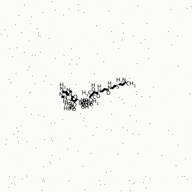 C[C@H](N)CCSCCNC(=O)CCNC(=O)[C@H](O)C(C)(C)COP(=O)(O)OP(=O)(O)OC[C@H]1O[C@@H](n2cnc3c(N)ncnc32)[C@H](O)[C@@H]1OP(=O)(O)O